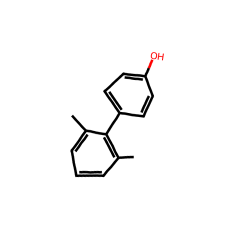 Cc1cccc(C)c1-c1ccc(O)cc1